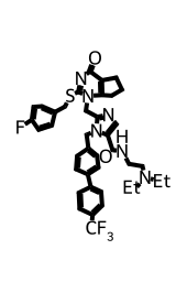 CCN(CC)CCNC(=O)c1cnc(Cn2c(SCc3ccc(F)cc3)nc(=O)c3c2CCC3)n1Cc1ccc(-c2ccc(C(F)(F)F)cc2)cc1